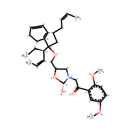 C/C=C\CCCC(OCC1CN(CC(=O)c2cc(OC)ccc2OC)[C@H](O)O1)(C1=CC=CCC1)[C@@H](/C=C\C)CC